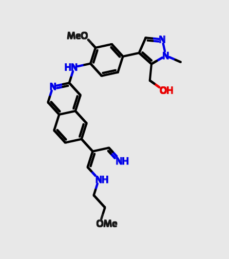 COCCN/C=C(\C=N)c1ccc2cnc(Nc3ccc(-c4cnn(C)c4CO)cc3OC)cc2c1